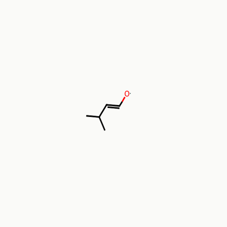 CC(C)/C=C/[O]